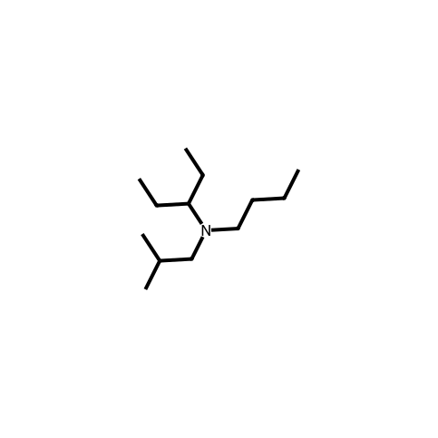 CCCCN(CC(C)C)C(CC)CC